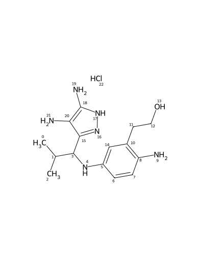 CC(C)C(Nc1ccc(N)c(CCO)c1)c1n[nH]c(N)c1N.Cl